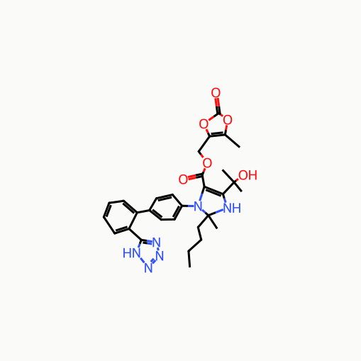 CCCCC1(C)NC(C(C)(C)O)=C(C(=O)OCc2oc(=O)oc2C)N1c1ccc(-c2ccccc2-c2nnn[nH]2)cc1